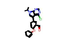 CC(C)n1cc(-c2ccc(Oc3ccccc3)c(C=O)c2)c2c(Cl)ncnc21